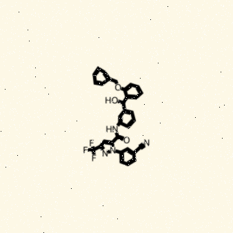 N#Cc1cccc(-n2nc(C(F)(F)F)cc2C(=O)Nc2cccc(C(O)c3ccccc3OCc3ccccc3)c2)c1